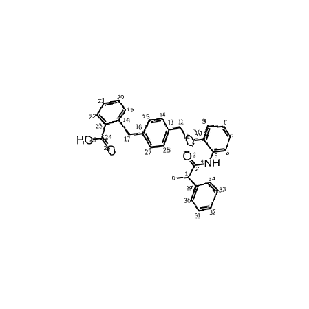 CC(C(=O)Nc1ccccc1OCc1ccc(Cc2ccccc2C(=O)O)cc1)c1ccccc1